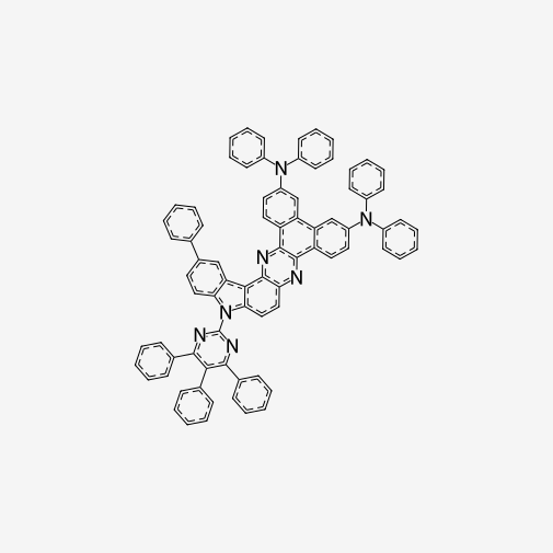 c1ccc(-c2ccc3c(c2)c2c4nc5c6ccc(N(c7ccccc7)c7ccccc7)cc6c6cc(N(c7ccccc7)c7ccccc7)ccc6c5nc4ccc2n3-c2nc(-c3ccccc3)c(-c3ccccc3)c(-c3ccccc3)n2)cc1